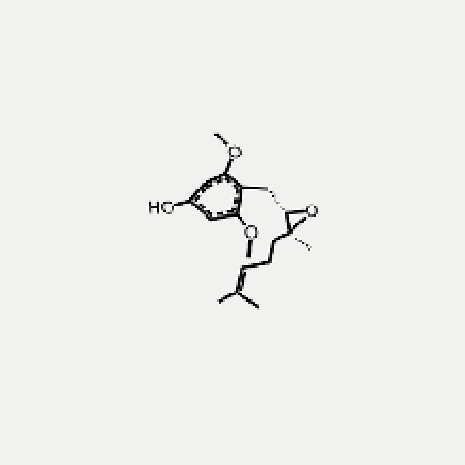 COc1cc(O)cc(OC)c1C[C@@H]1O[C@@]1(C)CCC=C(C)C